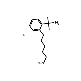 CCCCCCCCCCCCCCCc1ccccc1C(C)(C)N.Cl